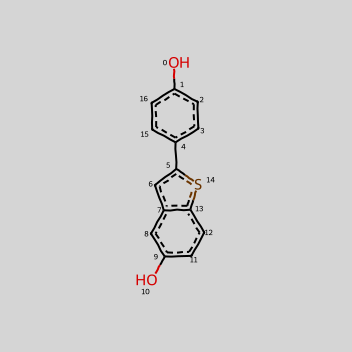 Oc1ccc(-c2cc3cc(O)ccc3s2)cc1